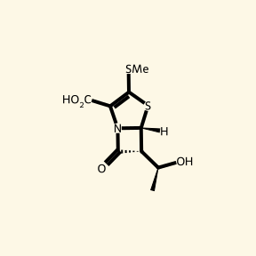 CSC1=C(C(=O)O)N2C(=O)[C@@H]([C@H](C)O)[C@H]2S1